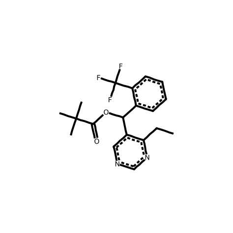 CCc1ncncc1C(OC(=O)C(C)(C)C)c1ccccc1C(F)(F)F